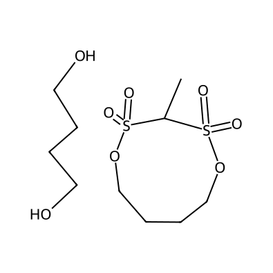 CC1S(=O)(=O)OCCCCOS1(=O)=O.OCCCCO